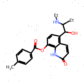 CCNC(CC)C(O)c1ccc(OC(=O)c2ccc(C)cc2)c2[nH]c(=O)ccc12